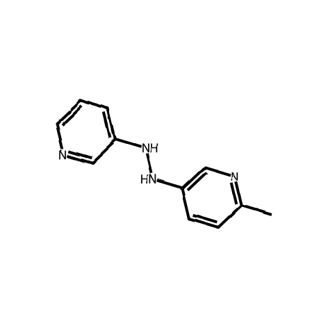 Cc1ccc(NNc2cccnc2)cn1